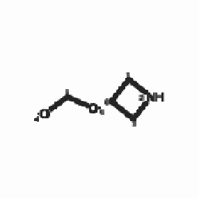 C1CNC1.[O]C[O]